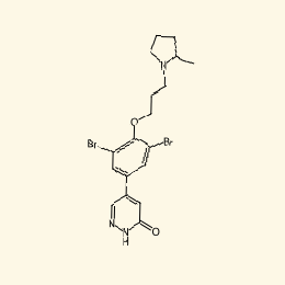 CC1CCCN1CCCOc1c(Br)cc(-c2cn[nH]c(=O)c2)cc1Br